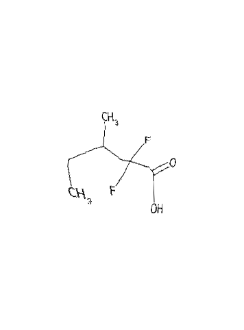 CCC(C)C(F)(F)C(=O)O